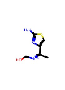 C/C(=N/CO)c1csc(N)n1